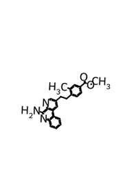 COC(=O)c1ccc(CCc2cnc3c(N)nc4ccccc4c3c2)c(C)c1